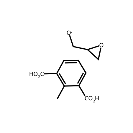 Cc1c(C(=O)O)cccc1C(=O)O.[O]CC1CO1